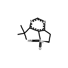 CC(C)(C)c1ncnc2c1[S@@](=N)(=O)CC2